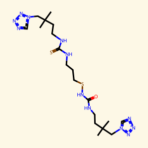 CC(C)(CCNC(=O)NSCCCNC(=S)NCCC(C)(C)Cn1cnnn1)Cn1cnnn1